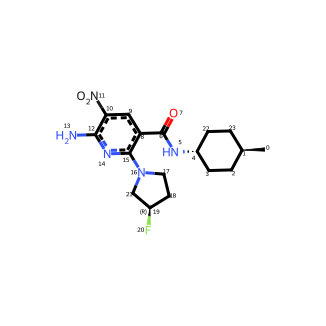 C[C@H]1CC[C@H](NC(=O)c2cc([N+](=O)[O-])c(N)nc2N2CC[C@@H](F)C2)CC1